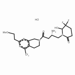 COCCc1nc2c(c(C(F)(F)F)n1)CCN(C(=O)C[C@H](N)CN1C(=O)CCC(F)(F)C1O)C2.Cl